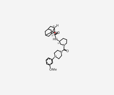 COc1cccc(N2CCN(C(=O)N3CCC[C@H](NC(=O)[C@@]45CC6CC(C4)C(O)[C@H](C6)C5)C3)CC2)c1